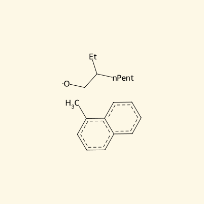 CCCCCC(CC)C[O].Cc1cccc2ccccc12